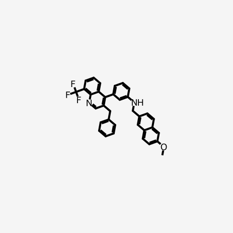 COc1ccc2cc(CNc3cccc(-c4c(Cc5ccccc5)cnc5c(C(F)(F)F)cccc45)c3)ccc2c1